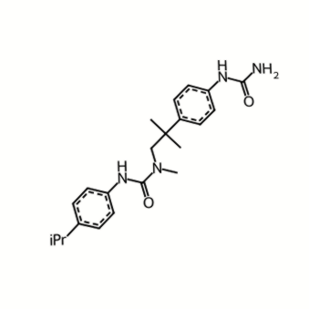 CC(C)c1ccc(NC(=O)N(C)CC(C)(C)c2ccc(NC(N)=O)cc2)cc1